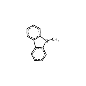 C[Si]1c2ccccc2-c2ccccc21